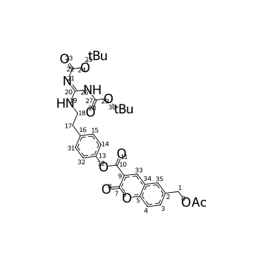 CC(=O)OCc1ccc2oc(=O)c(C(=O)Oc3ccc(CCNC(=NC(=O)OC(C)(C)C)NC(=O)OC(C)(C)C)cc3)cc2c1